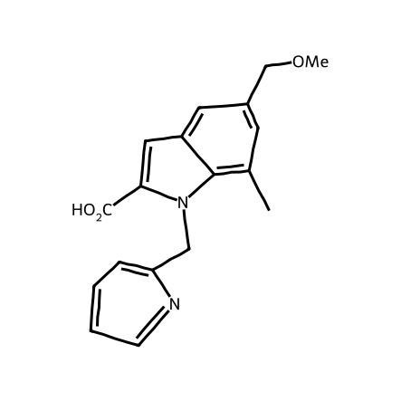 COCc1cc(C)c2c(c1)cc(C(=O)O)n2Cc1ccccn1